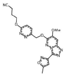 COc1cc2nnc(-c3cc(C)on3)n2nc1OCc1ccc(OCCCC#N)nn1